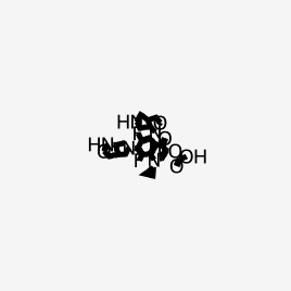 C1NCC2NOCC12.O=C(O)Oc1cn(C2CC2)c2c(F)c(N3CC4CONC4C3)c(F)cc2c1=O